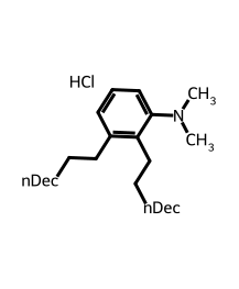 CCCCCCCCCCCCc1cccc(N(C)C)c1CCCCCCCCCCCC.Cl